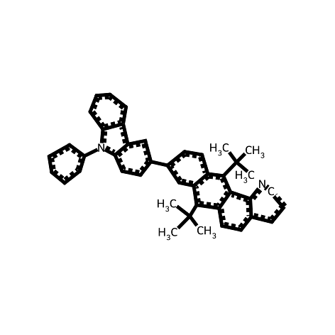 CC(C)(C)c1c2cc(-c3ccc4c(c3)c3ccccc3n4-c3ccccc3)ccc2c(C(C)(C)C)c2c1ccc1cccnc12